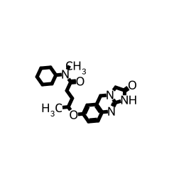 CC(CCC(=O)N(C)C1CCCCC1)Oc1ccc2c(c1)CN1CC(=O)NC1=N2